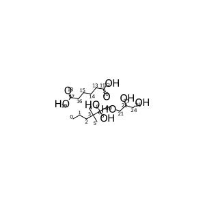 CCCC(C)(C)C(C)(O)O.O=C(O)CCCCC(=O)O.OCC(O)CO